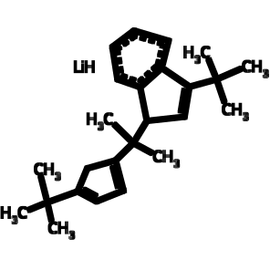 CC(C)(C)C1=CC=C(C(C)(C)C2C=C(C(C)(C)C)c3ccccc32)C1.[LiH]